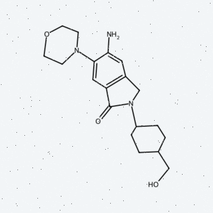 Nc1cc2c(cc1N1CCOCC1)C(=O)N(C1CCC(CO)CC1)C2